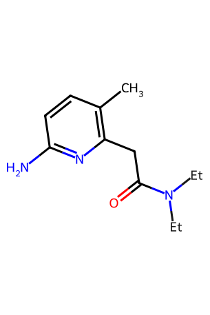 CCN(CC)C(=O)Cc1nc(N)ccc1C